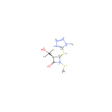 CC(=O)SN1C(=O)[C@@H](C(C)(C)O)[C@H]1Sc1nnnn1C